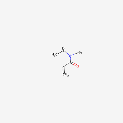 C=CC(=O)N(BC)CCC